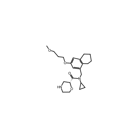 COCCCOc1cc2c(c(CN(C(=O)[C@H]3CNCCO3)C3CC3)c1)CCCC2